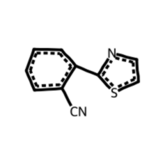 N#Cc1ccccc1-c1nccs1